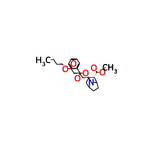 CCCCOC(=O)CCCCN1C2CCC1[C@@H](C(=O)OC)[C@@H](OC(=O)c1ccccc1)C2